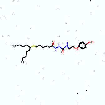 CCCCCC(CCCC)SCCCCCC(=O)NNC(=O)NCCOc1ccc(O)cc1